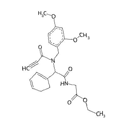 C#CC(=O)N(Cc1ccc(OC)cc1OC)C(C(=O)NCC(=O)OCC)C1=CC=CCC1